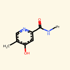 Cc1cnc(C(=O)NC(C)C)cc1O